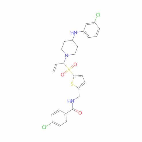 C=CC(N1CCC(Nc2cccc(Cl)c2)CC1)S(=O)(=O)c1ccc(CNC(=O)c2ccc(Cl)cc2)s1